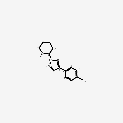 Ic1ccc(-c2cnn(C3CCCCO3)c2)cc1